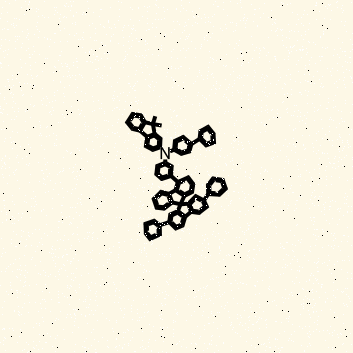 CC1(C)c2ccccc2-c2ccc(N(c3ccc(-c4ccccc4)cc3)c3cccc(-c4cccc5c4-c4ccccc4C54c5cc(-c6ccccc6)ccc5-c5ccc(-c6ccccc6)cc54)c3)cc21